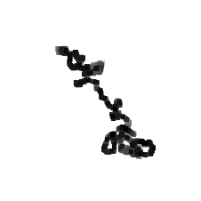 CC(C)(CNC(=O)CCCCCCC(=O)Nc1ccc(O)cc1)[Si](O)(c1ccccc1)c1ccccc1